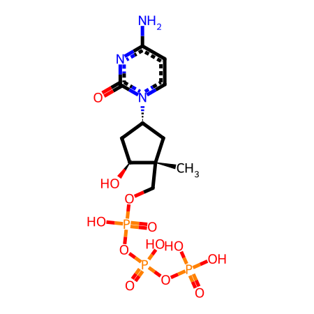 C[C@]1(COP(=O)(O)OP(=O)(O)OP(=O)(O)O)C[C@@H](n2ccc(N)nc2=O)C[C@@H]1O